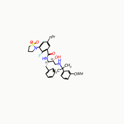 CCCc1cc(C(=O)N[C@@H](Cc2ccccc2)[C@H](O)CNC(C)(C)c2cccc(OC)c2)c(F)c(N2CCCS2(=O)=O)c1